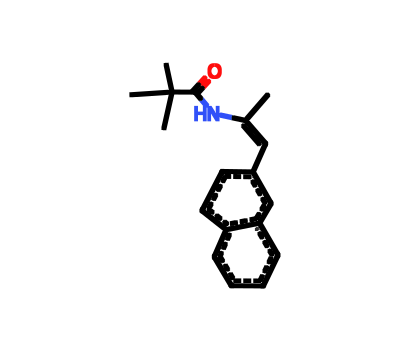 C/C(=C/c1ccc2ccccc2c1)NC(=O)C(C)(C)C